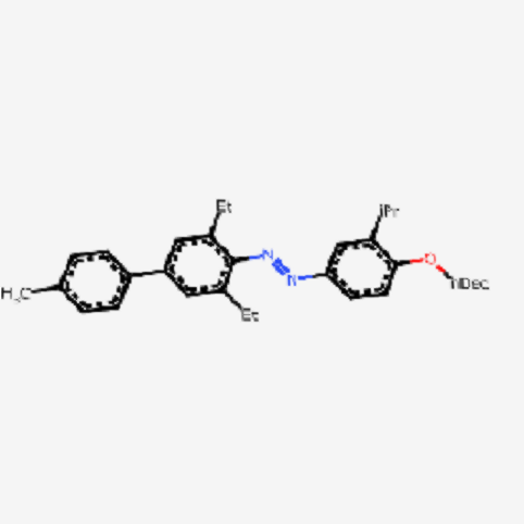 CCCCCCCCCCOc1ccc(/N=N/c2c(CC)cc(-c3ccc(C)cc3)cc2CC)cc1C(C)C